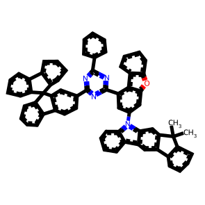 CC1(C)c2ccccc2-c2cc3c4ccccc4n(-c4cc(-c5nc(-c6ccccc6)nc(-c6ccc7c(c6)C6(c8ccccc8-c8ccccc86)c6ccccc6-7)n5)c5c(c4)oc4ccccc45)c3cc21